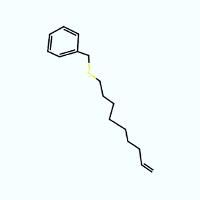 C=CCCCCCCCSCc1ccccc1